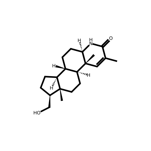 CC1=C[C@@]2(C)[C@@H](CC[C@@H]3[C@@H]2CC[C@]2(C)[C@@H](CO)CC[C@@H]32)NC1=O